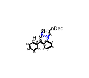 CCCCCCCCCCCCN(C1=CC=CCC1=Cc1ccccc1)N(C)C